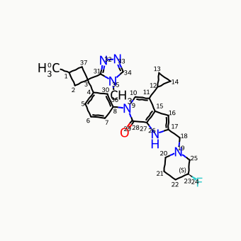 CC1CC(c2cccc(-n3cc(C4CC4)c4cc(CN5CCC[C@H](F)C5)[nH]c4c3=O)c2)(c2nncn2C)C1